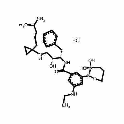 CCNc1cc(C(=O)N[C@@H](Cc2ccccc2)[C@H](O)CNC2(CCCC(C)C)CC2)cc(N2CCCCS2(O)O)c1.Cl